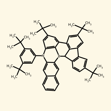 CC(C)(C)c1cc(N2c3cc4ccccc4cc3B3c4c(cc(C(C)(C)C)cc42)-c2cc(C(C)(C)C)cc4c2C3c2ccc(C(C)(C)C)cc2-4)cc(C(C)(C)C)c1